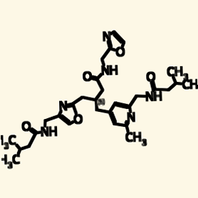 Cc1cc(C[C@H](CC(=O)NCc2ncco2)Cc2nc(CNC(=O)CC(C)C)co2)cc(CNC(=O)CC(C)C)n1